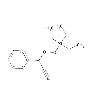 CC[Si](CC)(CC)OOC(C#N)c1ccccc1